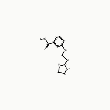 COC(=O)c1cccc(OCCC2OCCO2)c1